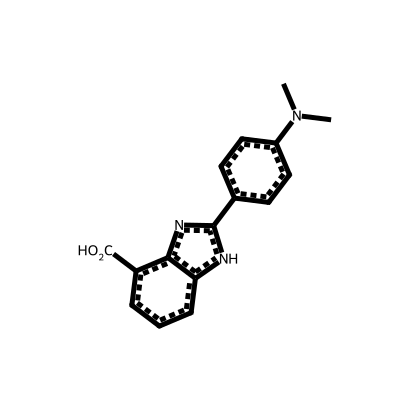 CN(C)c1ccc(-c2nc3c(C(=O)O)cccc3[nH]2)cc1